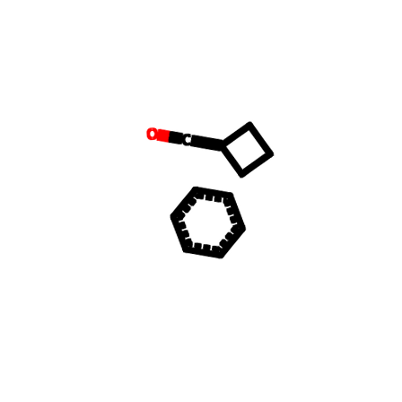 O=C=C1CCC1.c1ccccc1